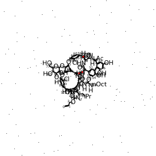 C=CCOC(=O)N(C)[C@H](CC(C)C)C(=O)N[C@H]1C(=O)C[C@@H](CNC(=O)NCCCCCCCC)C(=O)N[C@H]2C(=O)C[C@H]3C(=O)N[C@H](C(=O)N[C@H](C(C)=O)c4cc(O)cc(O)c4-c4cc3ccc4O)[C@H](O)c3ccc(c(Cl)c3)Oc3cc2cc(c3OC2OC(CO)C(O)C(O)C2O)Oc2ccc(cc2Cl)[C@H]1O